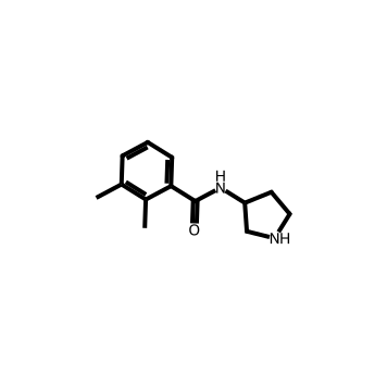 Cc1cccc(C(=O)NC2CCNC2)c1C